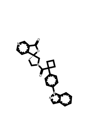 O=C1O[C@]2(CCN(C(=O)C3(c4ccc(-n5ncc6ccccc65)cc4)CCC3)C2)c2ccncc21